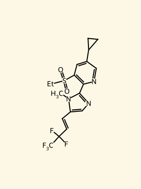 CCS(=O)(=O)c1cc(C2CC2)cnc1-c1ncc(/C=C/C(F)(F)C(F)(F)F)n1C